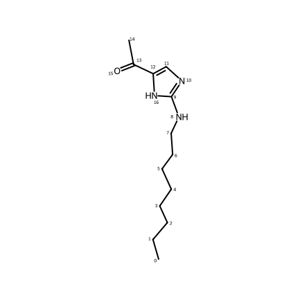 CCCCCCCCNc1ncc(C(C)=O)[nH]1